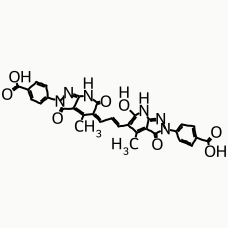 Cc1c(/C=C/C=c2/c(C)c3c([nH]c2=O)=NN(c2ccc(C(=O)O)cc2)C3=O)c(O)[nH]c2nn(-c3ccc(C(=O)O)cc3)c(=O)c1-2